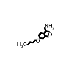 CCCCCOc1ccc2c(c1)=COCC=2CN